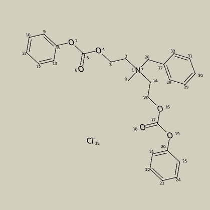 C[N+](CCOC(=O)Oc1ccccc1)(CCOC(=O)Oc1ccccc1)Cc1ccccc1.[Cl-]